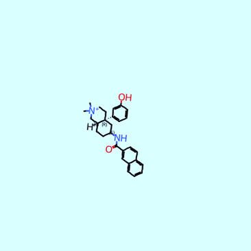 C[N+]1(C)CC[C@@]2(c3cccc(O)c3)C[C@@H](NC(=O)c3ccc4ccccc4c3)CC[C@@H]2C1